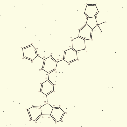 CC1(C)c2ccccc2-c2cc3c(cc21)Oc1ccc(-c2nc(-c4ccccc4)nc(-c4ccc(-n5c6ccccc6c6ccccc65)cc4)n2)cc1O3